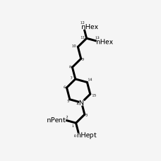 CCCCCCCC(CCCCC)CN1CCC(CCCC(CCCCCC)CCCCCC)CC1